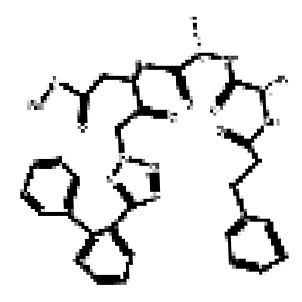 CC(C)[C@H](NC(=O)CCc1ccccc1)C(=O)N[C@@H](C)C(=O)NC(CC(=O)OC(C)(C)C)C(=O)Cn1nnc(-c2ccccc2-c2ccccc2)n1